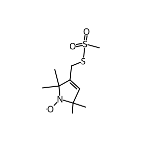 CC1(C)C=C(CSS(C)(=O)=O)C(C)(C)N1[O]